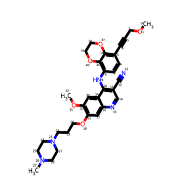 COCC#Cc1ccc(Nc2c(C#N)cnc3cc(OCCCN4CCN(C)CC4)c(OC)cc23)c2c1OCCO2